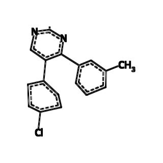 Cc1cccc(-c2n[c]ncc2-c2ccc(Cl)cc2)c1